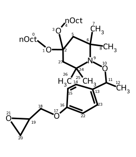 CCCCCCCCOC1(OCCCCCCCC)CC(C)(C)N(OC(C)c2ccc(OCC3CO3)cc2)C(C)(C)C1